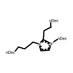 CCCCCCCCCCCCCn1cc[n+](CCCCCCCCCC)c1CCCCCCCCCCCC